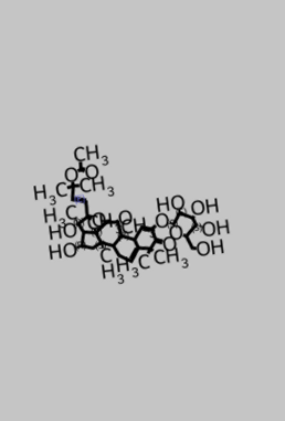 CC(=O)OC(C)(C)/C=C/C(=O)[C@](C)(O)C1[C@H](O)C[C@@]2(C)C3CC=C4C(C=C(O[C@@H]5OC(CO)[C@@H](O)C(O)[C@@H]5O)C(=O)C4(C)C)[C@]3(C)C(=O)C[C@]12C